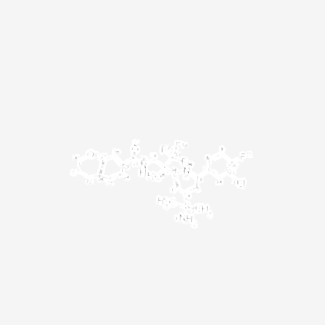 CC(C)(N)c1cc(-c2ccc(F)c(Cl)c2)nc(C(O)(CNC(=O)c2ccc3c(c2)OCCC3)C(F)(F)F)c1